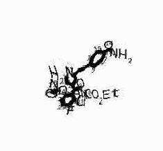 CCOC(=O)Nc1oc2c(C#Cc3ccc(C(N)=O)cc3)nccc2c1-c1c(OC(N)=O)ccc(F)c1Cl